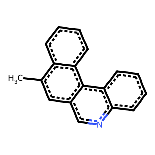 Cc1cc2cnc3ccccc3c2c2ccccc12